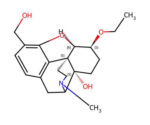 CCO[C@H]1CC[C@@]2(O)C3Cc4ccc(CO)c5c4[C@@]2(CCN3C)[C@H]1O5